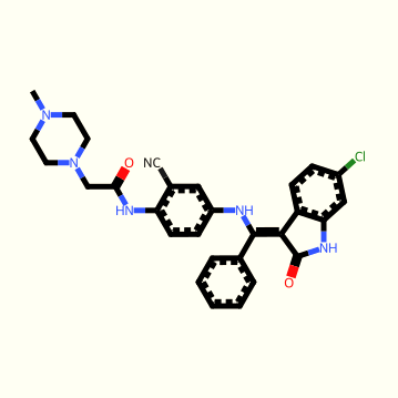 CN1CCN(CC(=O)Nc2ccc(NC(=C3C(=O)Nc4cc(Cl)ccc43)c3ccccc3)cc2C#N)CC1